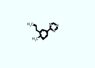 C=CCc1cc(-c2ncncn2)ccc1C